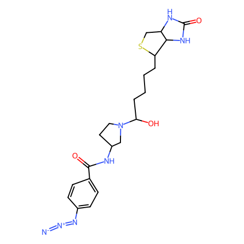 [N-]=[N+]=Nc1ccc(C(=O)NC2CCN(C(O)CCCCC3SCC4NC(=O)NC43)C2)cc1